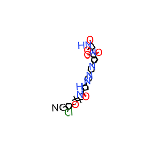 CC1(C)[C@H](NC(=O)c2ccc(N3CCN(C4CCN(c5ccc6c(c5)C(=O)N(C5CCC(=O)NC5=O)C6=O)CC4)CC3)cc2)C(C)(C)[C@H]1Oc1ccc(C#N)c(Cl)c1